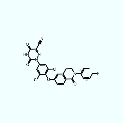 C/C=C(\C=C/CF)N1CCc2cc(Oc3c(Cl)cc(-n4nc(C#N)c(=O)[nH]c4=O)cc3Cl)ccc2C1=O